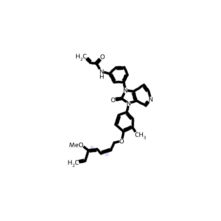 C=CC(=O)Nc1cccc(-n2c(=O)n(-c3ccc(OC/C=C\C=C(/C=C)OC)c(C)c3)c3cnccc32)c1